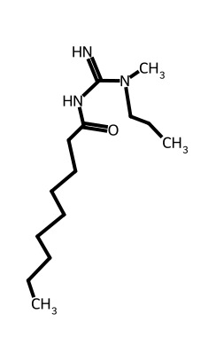 CCCCCCCCC(=O)NC(=N)N(C)CCC